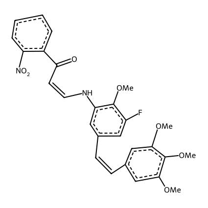 COc1cc(/C=C\c2cc(F)c(OC)c(N/C=C\C(=O)c3ccccc3[N+](=O)[O-])c2)cc(OC)c1OC